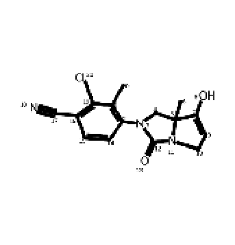 Cc1c(N2CC3(C)C(O)=CCN3C2=O)ccc(C#N)c1Cl